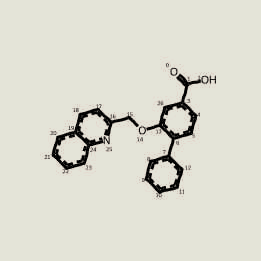 O=C(O)c1ccc(-c2ccccc2)c(OCc2ccc3ccccc3n2)c1